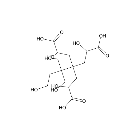 O=C(O)C(O)CC(CC(O)C(=O)O)(CC(O)C(=O)O)C(CO)(CO)CCO